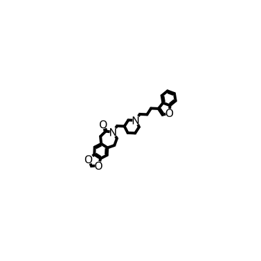 O=C1Cc2cc3c(cc2CCN1CC1CCCN(CCCc2coc4ccccc24)C1)OCO3